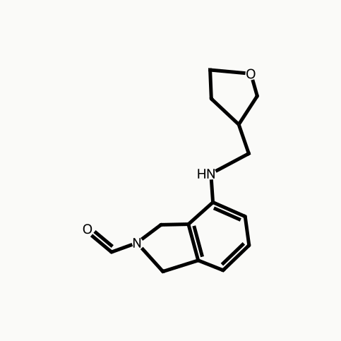 O=CN1Cc2cccc(NCC3CCOC3)c2C1